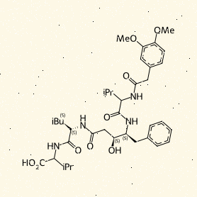 CC[C@H](C)[C@H](NC(=O)C[C@H](O)[C@H](Cc1ccccc1)NC(=O)C(NC(=O)Cc1ccc(OC)c(OC)c1)C(C)C)C(=O)NC(C(=O)O)C(C)C